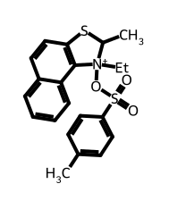 CC[N+]1(OS(=O)(=O)c2ccc(C)cc2)c2c(ccc3ccccc23)SC1C